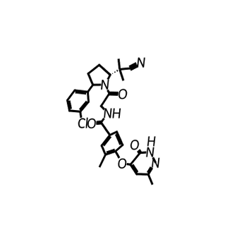 Cc1cc(Oc2ccc(C(=O)NCC(=O)N3C(c4cccc(Cl)c4)CC[C@@H]3C(C)(C)C#N)cc2C)c(=O)[nH]n1